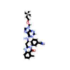 Cc1cccc2nc(CCNc3ncnc4c3ncn4COCC[Si](C)(C)C)n(-c3cccc(C#N)c3)c(=O)c12